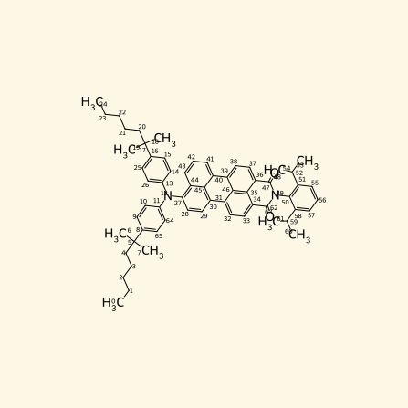 CCCCCC(C)(C)c1ccc(N(c2ccc(C(C)(C)CCCCC)cc2)c2ccc3c4ccc5c6c(ccc(c7cccc2c73)c64)C(=O)N(c2c(C(C)C)cccc2C(C)C)C5=O)cc1